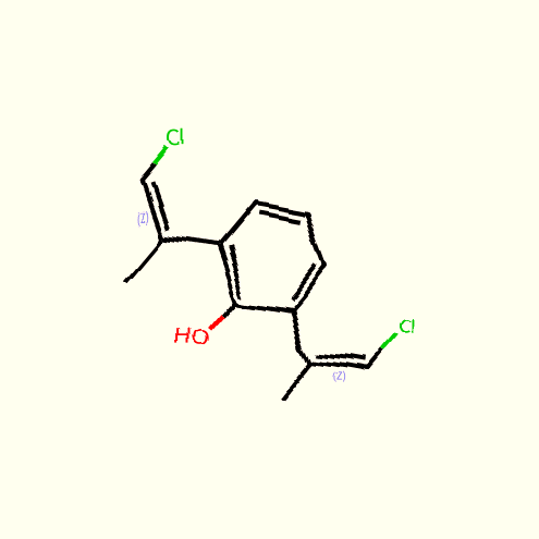 C/C(=C/Cl)c1cccc(/C(C)=C\Cl)c1O